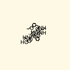 CCCOc1cccc(CC(=O)N[C@H](C(=O)NC(Cc2ccccc2)C(O)CC(=O)N[C@H](C(=O)N[C@H](C(=O)O)C(C)C)[C@@H](C)CC)[C@@H](C)CC)c1